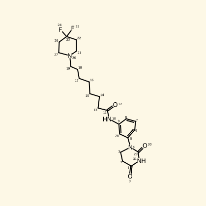 O=C1CCN(c2cccc(NC(=O)CCCCCCCN3CCC(F)(F)CC3)c2)C(=O)N1